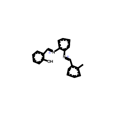 Cc1ccccc1/C=N/c1ccccc1/N=C/c1ccccc1O